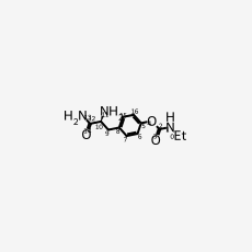 CCNC(=O)Oc1ccc(C[C@H](N)C(N)=O)cc1